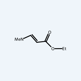 CCOC(=O)/C=C/NC